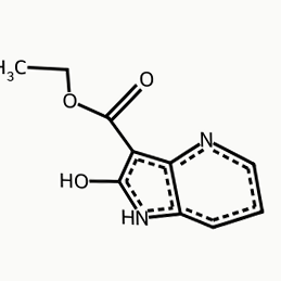 CCOC(=O)c1c(O)[nH]c2cccnc12